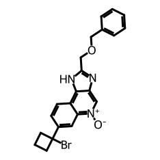 [O-][n+]1cc2nc(COCc3ccccc3)[nH]c2c2ccc(C3(Br)CCC3)cc21